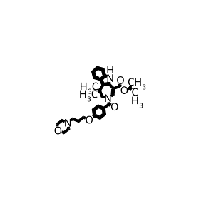 CC(C)OC(=O)C1=CN(C(=O)c2ccc(OCCCN3CCOCC3)cc2)CC(C)(C)c2c1[nH]c1ccccc21